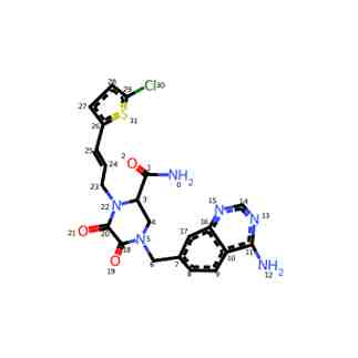 NC(=O)C1CN(Cc2ccc3c(N)ncnc3c2)C(=O)C(=O)N1CC=Cc1ccc(Cl)s1